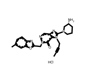 CC#CCn1c(N2CCC[C@@H](N)C2)nc2cnn(Cc3nc4ccc(C)cc4o3)c(=O)c21.Cl